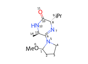 COC1CCCN1C1=N[C@@H](C(C)C)C(=O)N[C@@H]1C